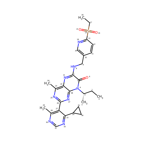 CC[C@H](C)n1c(=O)c(NCc2ccc(S(=O)(=O)CC)nc2)nc2c(C)nc(-c3c(C)ncnc3C3CC3)nc21